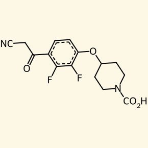 N#CCC(=O)c1ccc(OC2CCN(C(=O)O)CC2)c(F)c1F